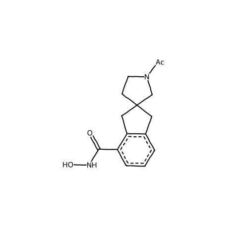 CC(=O)N1CCC2(Cc3cccc(C(=O)NO)c3C2)C1